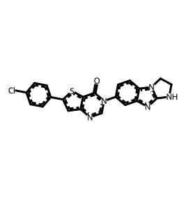 O=c1c2sc(-c3ccc(Cl)cc3)cc2ncn1-c1ccc2c(c1)nc1n2CCN1